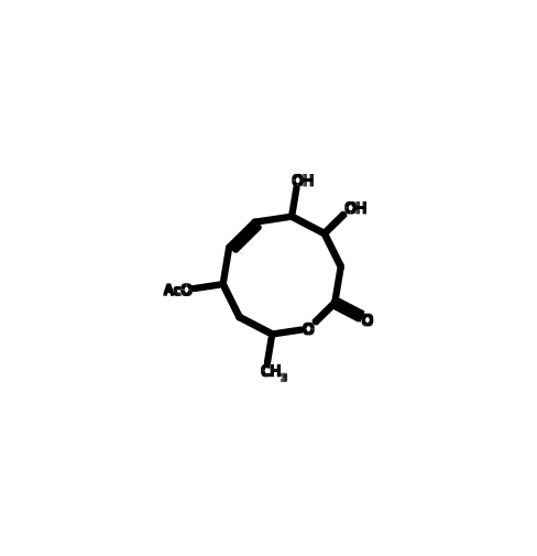 CC(=O)OC1C=CC(O)C(O)CC(=O)OC(C)C1